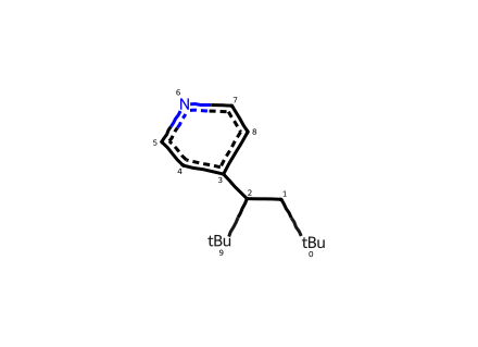 CC(C)(C)CC(c1ccncc1)C(C)(C)C